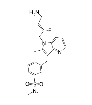 Cc1c(Cc2cccc(S(=O)(=O)N(C)C)c2)c2ncccc2n1CC(F)=CCN